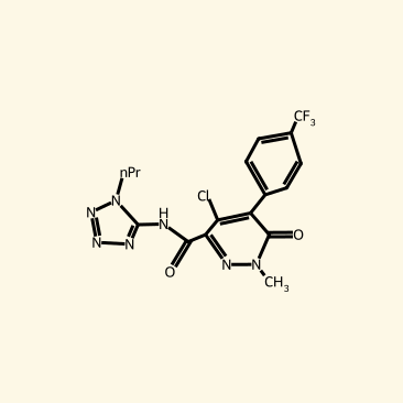 CCCn1nnnc1NC(=O)c1nn(C)c(=O)c(-c2ccc(C(F)(F)F)cc2)c1Cl